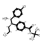 B[C@H](c1ccc(Cl)cc1)[C@H](CCC)c1ccc(C(=O)OC(C)(C)C)cc1